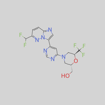 OC[C@@H]1CN(c2cc(-c3cnc4ccc(C(F)F)nn34)ncn2)C[C@@H](C(F)(F)F)O1